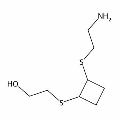 NCCSC1CCC1SCCO